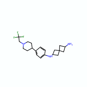 NC1CC2(C1)CC(Nc1ccc(C3CCN(CC(F)(F)F)CC3)cc1)C2